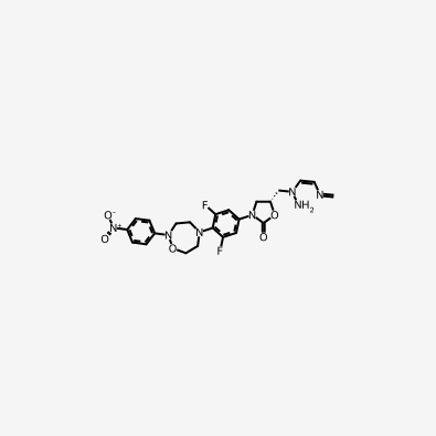 C=N/C=C\N(N)C[C@H]1CN(c2cc(F)c(N3CCON(c4ccc([N+](=O)[O-])cc4)CC3)c(F)c2)C(=O)O1